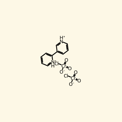 [O]=[Cr](=[O])([O-])[Cl].[O]=[Cr](=[O])([O-])[Cl].c1ccc(-c2ccc[nH+]c2)[nH+]c1